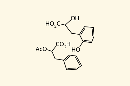 CC(=O)OC(Cc1ccccc1)C(=O)O.O=C(O)C(O)Cc1ccccc1O